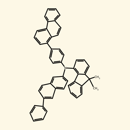 CC1(C)c2ccccc2-c2c(N(c3ccc(-c4cccc5c4ccc4ccccc45)cc3)c3ccc4cc(-c5ccccc5)ccc4c3)cccc21